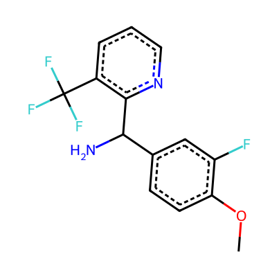 COc1ccc(C(N)c2ncccc2C(F)(F)F)cc1F